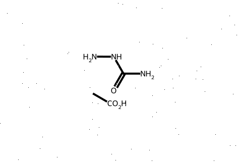 CC(=O)O.NNC(N)=O